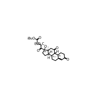 CCOC(=O)O[C@]1(C(=O)COC(=O)OCC(C)C)CC[C@H]2[C@@H]3CCC4=CC(=O)CC[C@]4(C)[C@H]3C(=O)C[C@@]21C